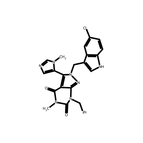 CC(C)Cn1c(=O)n(C)c(=O)c2c(-c3cncn3C)n(Cc3c[nH]c4ccc(Cl)cc34)nc21